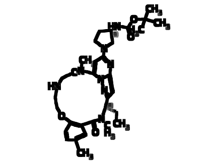 CC[C@H]1c2cc3nc(N4CC[C@H](NC(=O)OC(C)(C)C)C4)cc(n3n2)N(C)CCNCCOc2ccc(C)cc2C(=O)N1C